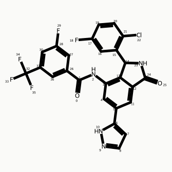 O=C(Nc1cc(-c2ccn[nH]2)cc2c1C(c1cc(F)ccc1Cl)NC2=O)c1cc(F)cc(C(F)(F)F)c1